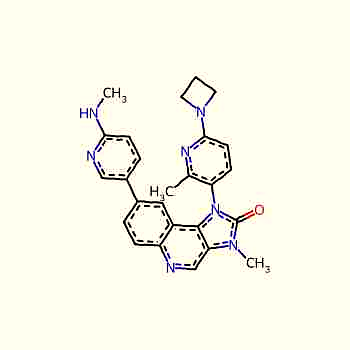 CNc1ccc(-c2ccc3ncc4c(c3c2)n(-c2ccc(N3CCC3)nc2C)c(=O)n4C)cn1